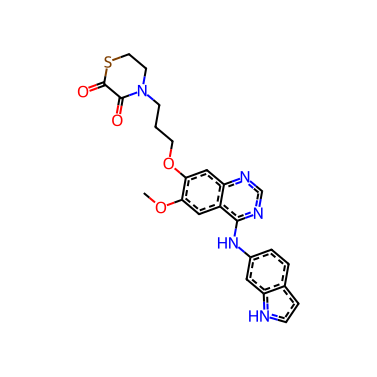 COc1cc2c(Nc3ccc4cc[nH]c4c3)ncnc2cc1OCCCN1CCSC(=O)C1=O